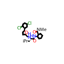 CNC(=O)c1ccccc1NC(=O)[C@H](CC(C)C)NCc1ccc(-c2cc(Cl)ccc2Cl)o1